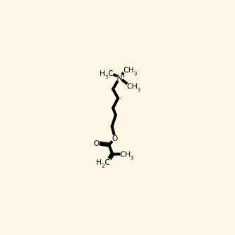 C=C(C)C(=O)OCCC[CH]C[N+](C)(C)C